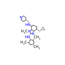 Cc1cc(C)c(Nc2nc3c(CC4CC4)ccc(NCc4ccncc4)c3n2C)c(C)c1